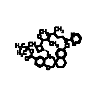 CO[C@@H](/C(C)=C/C(C)CCSc1ncccn1)[C@@H]1CC[C@H]1CN1C[C@@]2(CCCc3cc(Cl)ccc32)COc2ccc(C(=O)OC(C)(C)C)cc21